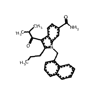 CCCc1c(C(=O)C(C)C)c2ccc(C(N)=O)cc2n1Cc1cccc2ccccc12